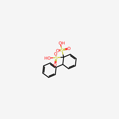 O=S(=O)(O)C1(S(=O)(=O)O)C=CC=CC1c1ccccc1